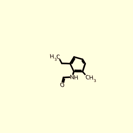 CCc1cccc(C)c1NC=O